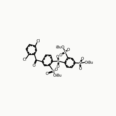 CC(C)COS(=O)(=O)c1ccc(S(=O)(=O)c2ccc(C(=O)c3cc(Cl)ccc3Cl)cc2S(=O)(=O)OCC(C)C)c(S(=O)(=O)OCC(C)C)c1